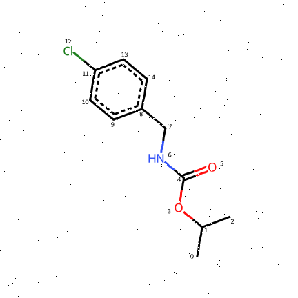 CC(C)OC(=O)NCc1[c]cc(Cl)cc1